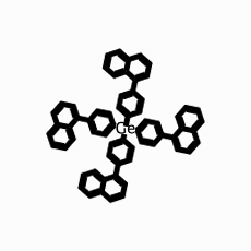 c1ccc2c(-c3cc[c]([Ge]([c]4ccc(-c5cccc6ccccc56)cc4)([c]4ccc(-c5cccc6ccccc56)cc4)[c]4ccc(-c5cccc6ccccc56)cc4)cc3)cccc2c1